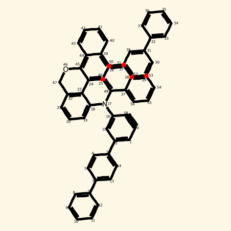 c1cc(-c2ccc(-c3ccccc3)cc2)cc(N(c2cccc3c2-c2cc(-c4cccc(-c5ccccc5)c4)c4ccccc4c2OC3)c2cccc3ccccc23)c#1